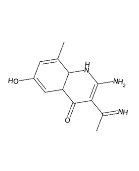 CC(=N)C1=C(N)NC2C(C)=CC(O)=CC2C1=O